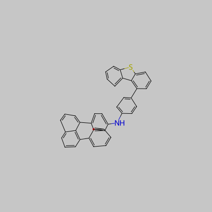 c1ccc(-c2cccc3cccc(-c4ccc(Nc5ccc(-c6cccc7sc8ccccc8c67)cc5)cc4)c23)cc1